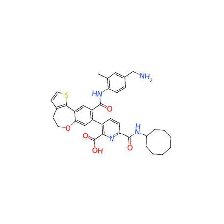 Cc1cc(CN)ccc1NC(=O)c1cc2c(cc1-c1ccc(C(=O)NC3CCCCCCC3)nc1C(=O)O)OCCc1ccsc1-2